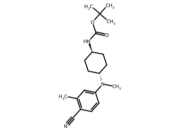 Cc1cc(N(C)[C@H]2CC[C@H](NC(=O)OC(C)(C)C)CC2)ccc1C#N